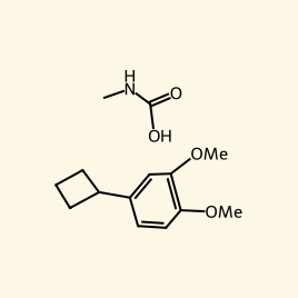 CNC(=O)O.COc1ccc(C2CCC2)cc1OC